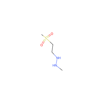 CNNCCS(C)(=O)=O